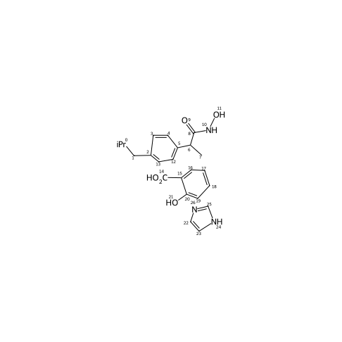 CC(C)Cc1ccc(C(C)C(=O)NO)cc1.O=C(O)c1ccccc1O.c1c[nH]cn1